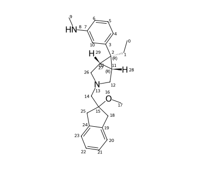 CC[C@]1(c2cccc(NC)c2)[C@@H]2CN(CC3(OC)Cc4ccccc4C3)C[C@@H]21